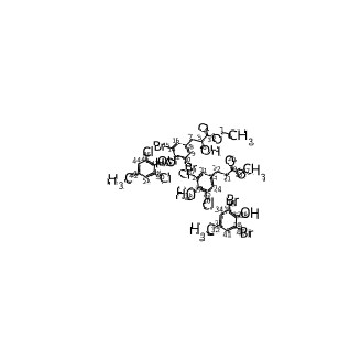 CCOC(=O)C(O)Cc1cc(Br)c(O)c(Br)c1.COC(=O)CCc1cc(Cl)c(O)c(Cl)c1.Cc1cc(Br)c(O)c(Br)c1.Cc1cc(Cl)c(O)c(Cl)c1